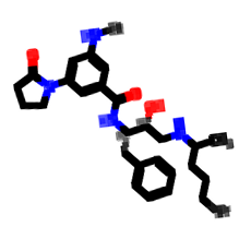 CCNc1cc(C(=O)N[C@@H](Cc2ccccc2)[C@H](O)CNC(C)CCCC(C)C)cc(N2CCCC2=O)c1